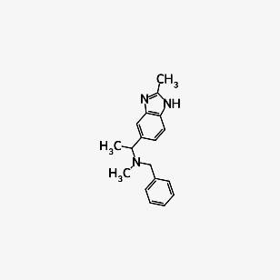 Cc1nc2cc(C(C)N(C)Cc3ccccc3)ccc2[nH]1